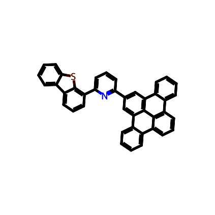 c1cc(-c2cc3c4ccccc4c4cccc5c6ccccc6c(c2)c3c45)nc(-c2cccc3c2sc2ccccc23)c1